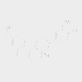 CCCCOc1ccc([C@H]2CCC[C@H]3CN(c4ccc(Cl)c(OC)c4)CCN32)c(C)c1C